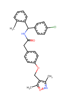 Cc1ccccc1C(NC(=O)Cc1ccc(OCc2c(C)noc2C)cc1)c1ccc(Cl)cc1